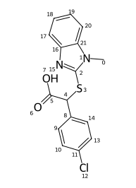 Cn1c(SC(C(=O)O)c2ccc(Cl)cc2)nc2ccccc21